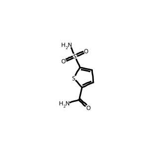 NC(=O)c1ccc(S(N)(=O)=O)s1